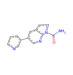 NC(=O)n1c[c]c2cc(-c3cccnc3)cnc21